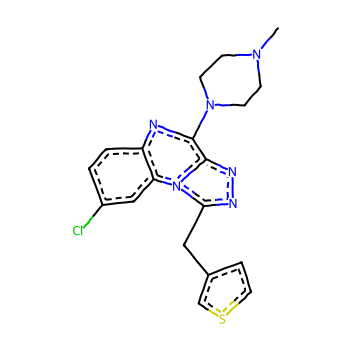 CN1CCN(c2nc3ccc(Cl)cc3n3c(Cc4ccsc4)nnc23)CC1